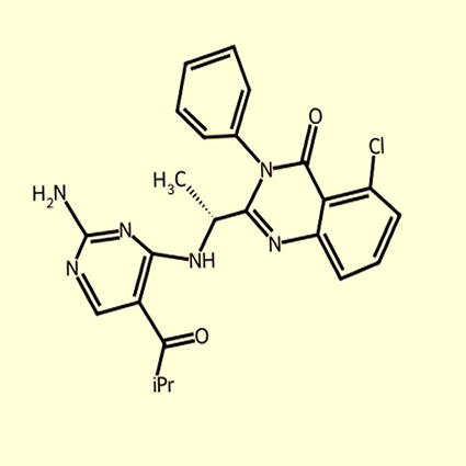 CC(C)C(=O)c1cnc(N)nc1N[C@H](C)c1nc2cccc(Cl)c2c(=O)n1-c1ccccc1